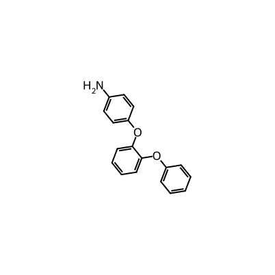 Nc1ccc(Oc2ccccc2Oc2ccccc2)cc1